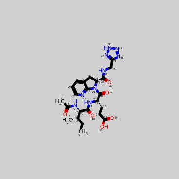 CC[C@H](C)[C@H](NC(C)=O)C(=O)N[C@@H](CCC(=O)O)C(=O)N1c2ncccc2C[C@H]1C(=O)NCc1nn[nH]n1